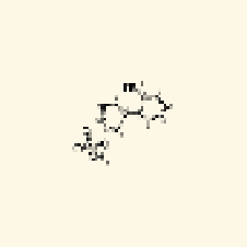 N#Cc1ccccc1-c1cccc(OS(N)(=O)=O)c1